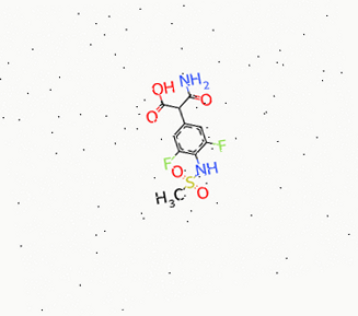 CS(=O)(=O)Nc1c(F)cc(C(C(N)=O)C(=O)O)cc1F